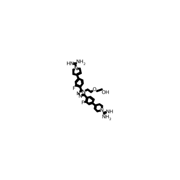 N=C(N)N1CC=C(c2ccc(-c3nnc(-c4ccc(C5=CCN(C(=N)N)CC5)cc4F)n3CCOCCO)c(F)c2)CC1